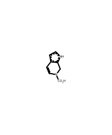 O=C(O)N1C=Cc2cc[nH]c2C1